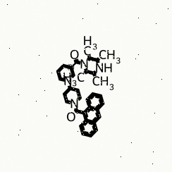 CC1NC(C)C(C)N(C(=O)[C@@H]2CCCN(C3CCN(C(=O)c4c5ccccc5cc5ccccc45)CC3)C2)C1C